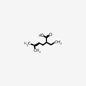 CCC(CC=C(C)C)C(=O)O